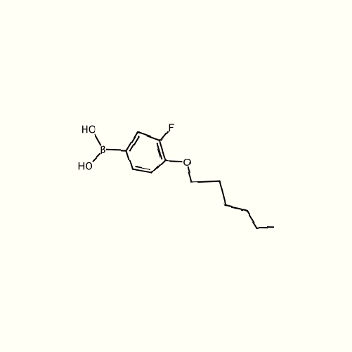 CCCCCCOc1ccc(B(O)O)cc1F